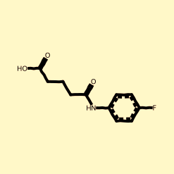 O=C(O)CCCC(=O)Nc1ccc(F)cc1